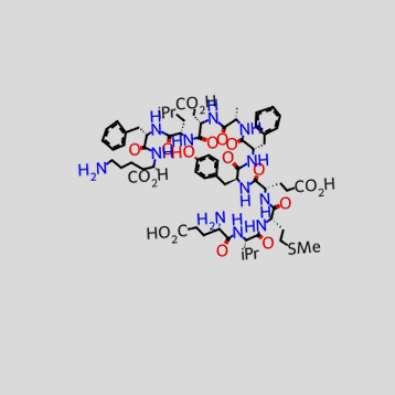 CSCC[C@H](NC(=O)[C@@H](NC(=O)[C@@H](N)CCC(=O)O)C(C)C)C(=O)N[C@@H](CCC(=O)O)C(=O)N[C@@H](Cc1ccc(O)cc1)C(=O)N[C@@H](Cc1ccccc1)C(=O)N[C@@H](C)C(=O)N[C@@H](CC(=O)O)C(=O)N[C@@H](CC(C)C)C(=O)N[C@@H](Cc1ccccc1)C(=O)N[C@@H](CCCCN)C(=O)O